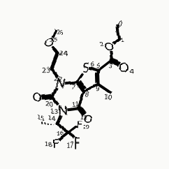 CCOC(=O)c1sc2c(c1C)c(=O)n([C@@H](C)C(F)(F)F)c(=O)n2CCOC